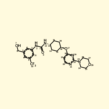 O=C(Nc1cc(CO)cc(C(F)(F)F)c1)N[C@H]1CC[C@H](Oc2ccnc(N3CCOCC3)n2)CC1